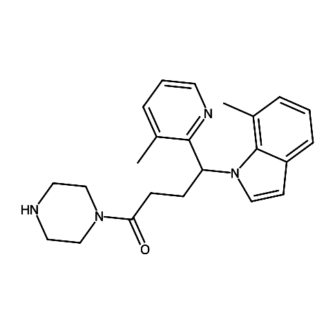 Cc1cccnc1C(CCC(=O)N1CCNCC1)n1ccc2cccc(C)c21